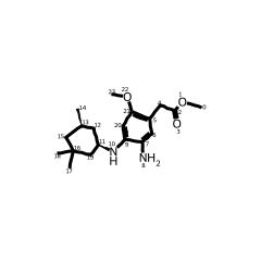 COC(=O)Cc1cc(N)c(N[C@@H]2C[C@H](C)CC(C)(C)C2)cc1OC